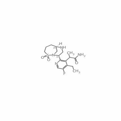 CCc1c(F)cnc([C@@H]2CN[C@@H]3CCCS(=O)(=O)N2C3)c1C(C)C(N)=O